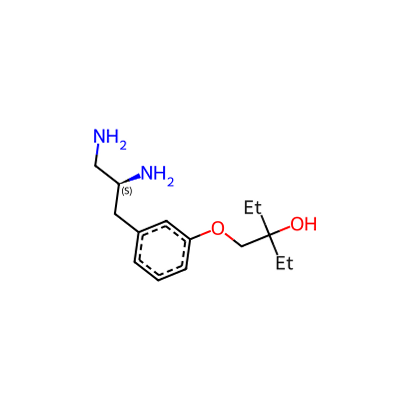 CCC(O)(CC)COc1cccc(C[C@H](N)CN)c1